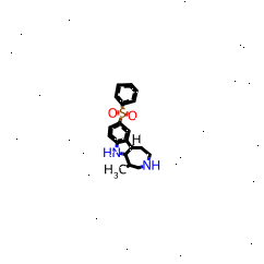 CC1CNCC[C@@H]2c3cc(S(=O)(=O)c4ccccc4)ccc3NC12